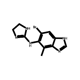 Cc1c(NC2=NCCN2)c(Br)cc2[nH]cnc12